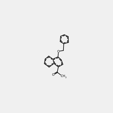 CC(=O)c1ccc(OCc2ccccc2)c2ccccc12